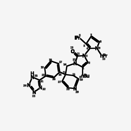 CCCCc1cn(-c2c(C(C)C)ccn2CCC)c(=O)n1CC1(c2cccc(-c3nnn[nH]3)c2)C=CN=CC1